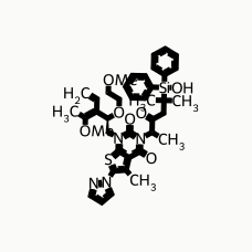 C=C/C(=C(\C)OC)[C@H](Cn1c(=O)n(C(C)C(=O)CC(C)(C)[Si](O)(c2ccccc2)c2ccccc2)c(=O)c2c(C)c(-n3cccn3)sc21)OCCOC